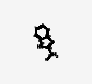 C[SiH2]c1nc2ccccc2[nH]1